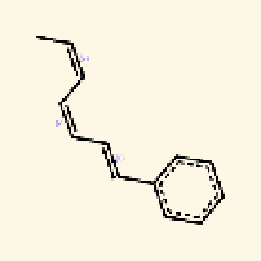 C\C=C/C=C\C=C\c1ccccc1